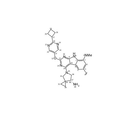 CNc1cc(F)cc2c1[nH]c1nc(Oc3cnc(C4CCC4)nc3)nc(N3C[C@H](N)C4(CC4)C3)c12